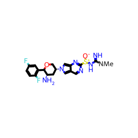 CNC(=N)N[S+]([O-])c1ncc2cn([C@H]3COC(c4cc(F)ccc4F)[C@@H](N)C3)cc2n1